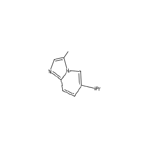 Cc1cnc2ccc(C(C)C)cn12